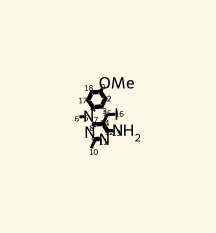 COc1ccc(N(C)c2nc(C)nc(N)c2CI)cc1